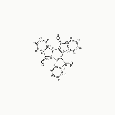 O=C1C2=C(C3=C(c4ccccc4C3=O)C3C(=O)c4ccccc4C23)c2ccccc21